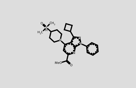 COC(=O)c1cc(N2CCC([SH](C)(C)=O)CC2)c2c(C3CCC3)nn(-c3ccccc3)c2n1